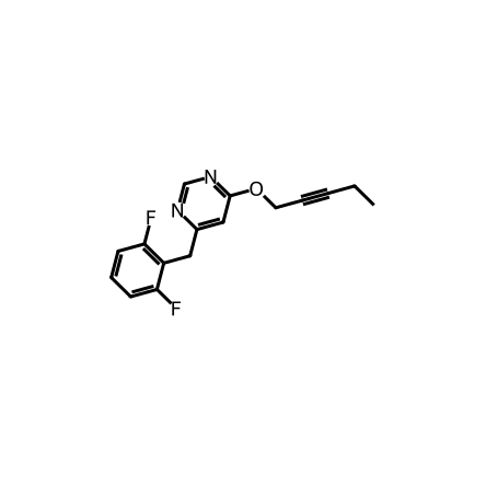 CCC#CCOc1cc(Cc2c(F)cccc2F)ncn1